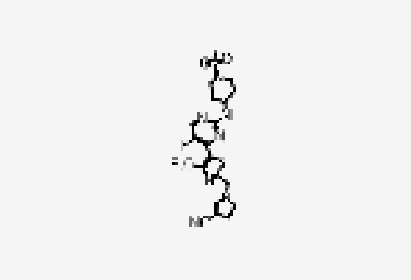 CS(=O)(=O)N1CCC(Nc2ncc(F)c(-c3sc(CN4CCC(C#N)C4)nc3C(F)(F)F)n2)CC1